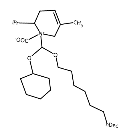 CCCCCCCCCCCCCCCCOC(OC1CCCCC1)[N+]1(C(=O)[O-])CC(C)=CCC1C(C)C